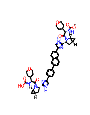 COC(=O)N[C@H](C(=O)N1[C@@H]2C[C@@H]2C[C@H]1c1nc(-c2ccc3cc(-c4ccc(-c5c[nH]c([C@@H]6C[C@H]7C[C@H]7N6C(=O)[C@@H](NC(=O)O)C6CCOCC6)n5)cc4)ccc3c2)c[nH]1)C1CCOCC1